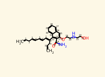 C=CCC=CC=CC=C(CC=C)c1c(C(N)=O)c(OCCNCCO)cc2ccccc12